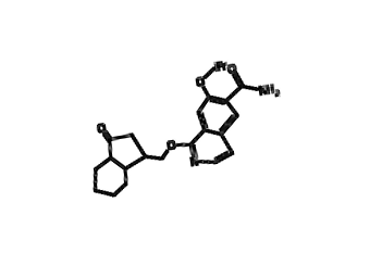 CC(C)Oc1cc2c(OCC3CC(=O)C4CCCCC34)nccc2cc1C(N)=O